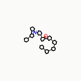 c1ccc(-c2cccc(-c3cccc(-c4cccc(-c5ccc6oc7c(-c8cccc(-n9c%10ccccc%10c%10cc(-c%11ccccc%11)ccc%109)c8)cccc7c6c5)c4)c3)c2)cc1